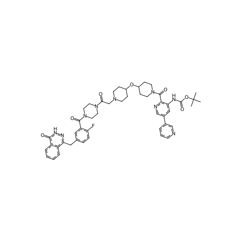 CC(C)(C)OC(=O)Nc1cc(-c2cccnc2)cnc1C(=O)N1CCC(OC2CCN(CC(=O)N3CCN(C(=O)c4cc(Cc5n[nH]c(=O)c6ccccc56)ccc4F)CC3)CC2)CC1